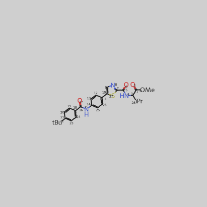 COC(=O)C(NC(=O)c1ncc(-c2ccc(NC(=O)c3ccc(C(C)(C)C)cc3)cc2)s1)C(C)C